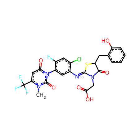 Cn1c(C(F)(F)F)cc(=O)n(-c2cc(/N=C3\SC(Cc4ccccc4O)C(=O)N3CC(=O)O)c(Cl)cc2F)c1=O